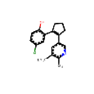 CCOC(=O)c1cc(C2=C(c3cc(Cl)ccc3O)CCC2)cnc1C